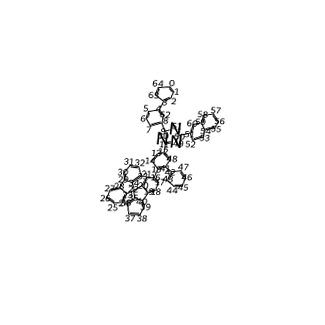 c1ccc(-c2cccc(-c3nc(-c4ccc(-c5ccc6c(c5)C5(c7ccccc7-c7ccccc75)c5ccccc5-6)c(-c5ccccc5)c4)nc(-c4ccc5ccccc5c4)n3)c2)cc1